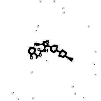 CC(OC(=O)Nc1c(C#N)cnn1-c1ccc(-c2ccc(C3CC3)cc2)nc1)c1ccccc1Cl